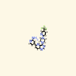 Nc1cc(-c2ccc3ncnc(N4CCN(c5ccc(C(F)(F)F)cn5)CC4)c3n2)ccn1